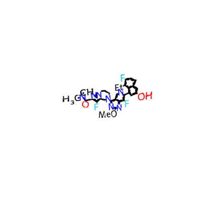 CCc1c(F)ccc2cc(O)cc(-c3ncc4c(N5CCCn6nc(C(=O)N(C)C)c(F)c6C5)nc(OC)nc4c3F)c12